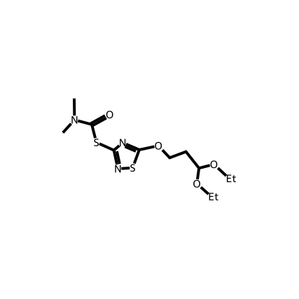 CCOC(CCOc1nc(SC(=O)N(C)C)ns1)OCC